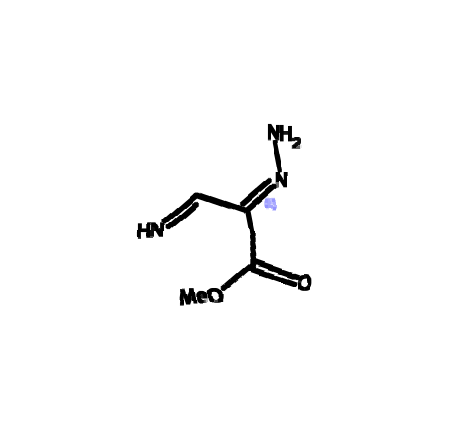 COC(=O)/C(C=N)=N/N